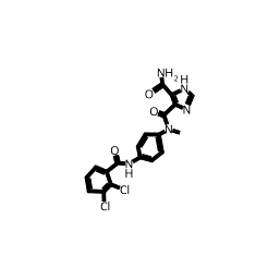 CN(C(=O)c1nc[nH]c1C(N)=O)c1ccc(NC(=O)c2cccc(Cl)c2Cl)cc1